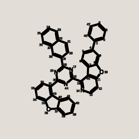 c1ccc(-c2ccc3c(c2)oc2ccnc(-c4nc(-c5ccc6ccccc6c5)nc(-c5cccc6oc7ccccc7c56)n4)c23)cc1